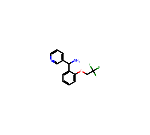 NC(c1cccnc1)c1ccccc1OCC(F)(F)F